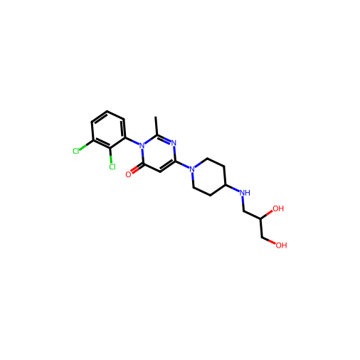 Cc1nc(N2CCC(NCC(O)CO)CC2)cc(=O)n1-c1cccc(Cl)c1Cl